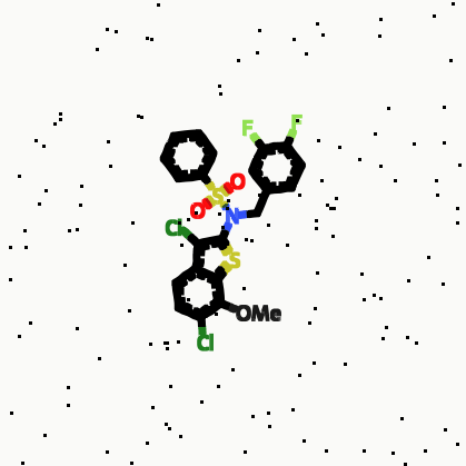 COc1c(Cl)ccc2c(Cl)c(N(Cc3ccc(F)c(F)c3)S(=O)(=O)c3ccccc3)sc12